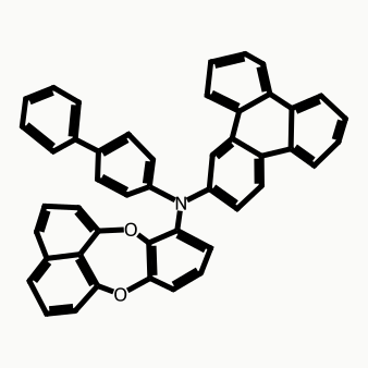 c1ccc(-c2ccc(N(c3ccc4c5ccccc5c5ccccc5c4c3)c3cccc4c3Oc3cccc5cccc(c35)O4)cc2)cc1